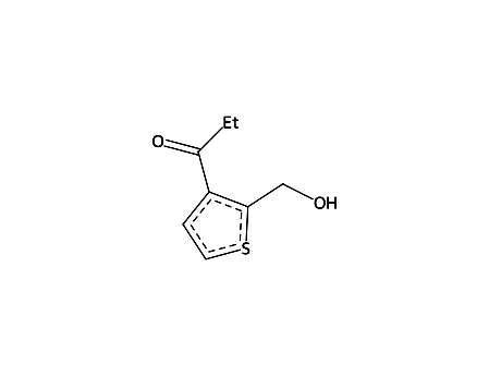 CCC(=O)c1ccsc1CO